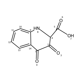 O=C1C(=O)C(C(=O)O)Nc2ccccc21